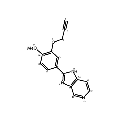 C#CCOc1cc(-c2nc3cnccc3[nH]2)ccc1OC